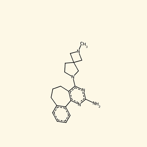 CN1CC2(CCN(c3nc(N)nc4c3CCCc3ccccc3-4)C2)C1